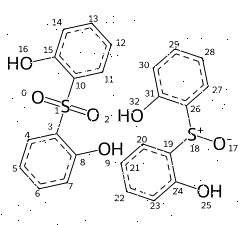 O=S(=O)(c1ccccc1O)c1ccccc1O.[O-][S+](c1ccccc1O)c1ccccc1O